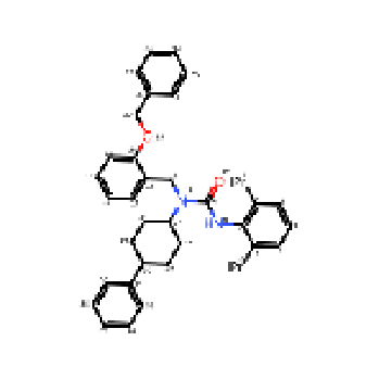 CC(C)c1cccc(C(C)C)c1NC(=O)N(Cc1ccccc1OCc1ccccc1)C1CCC(c2ccccc2)CC1